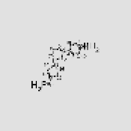 Cc1cc(-c2cccc(-c3ccc(CP)cc3)c2)ccc1P